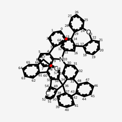 c1ccc(-c2ccccc2N(c2ccc3c(c2)-c2ccccc2Oc2ccccc2-3)c2ccc3c(c2)C2(c4ccccc4-c4ccccc4-3)c3ccccc3-c3c2ccc2c3-c3ccccc3C2)cc1